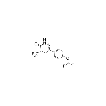 O=C1NN=C(c2ccc(OC(F)F)cc2)CC1C(F)(F)F